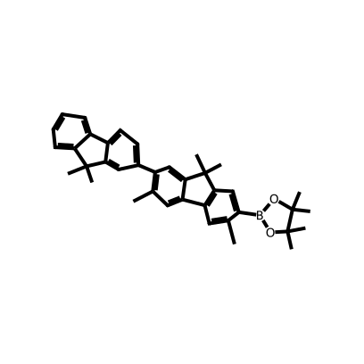 Cc1cc2c(cc1B1OC(C)(C)C(C)(C)O1)C(C)(C)c1cc(-c3ccc4c(c3)C(C)(C)c3ccccc3-4)c(C)cc1-2